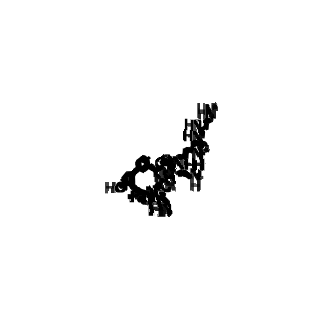 CNCCC[C@@H](CNC(=O)C[C@H](CCCNC(=O)[C@H](CCCNC)NC(=O)[C@@H]1Cc2cccc(c2)-c2ccc(O)c(c2)C[C@H](NC)C(=O)N[C@@H](CCCNC)C(=O)N1)NC)NC